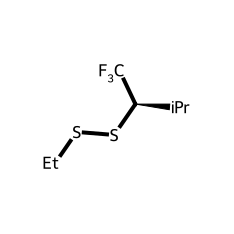 CCSS[C@H](C(C)C)C(F)(F)F